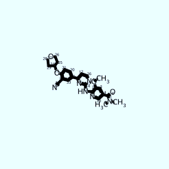 COc1cc(C(=O)N(C)C)cnc1Nc1nccc(-c2ccc(OC3CCOCC3)c(C#N)c2)n1